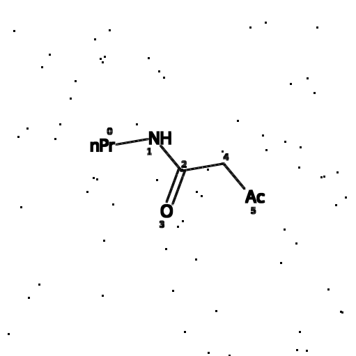 [CH2]CCNC(=O)CC(C)=O